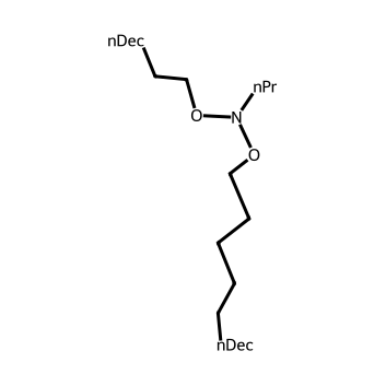 CCCCCCCCCCCCCCCON(CCC)OCCCCCCCCCCCC